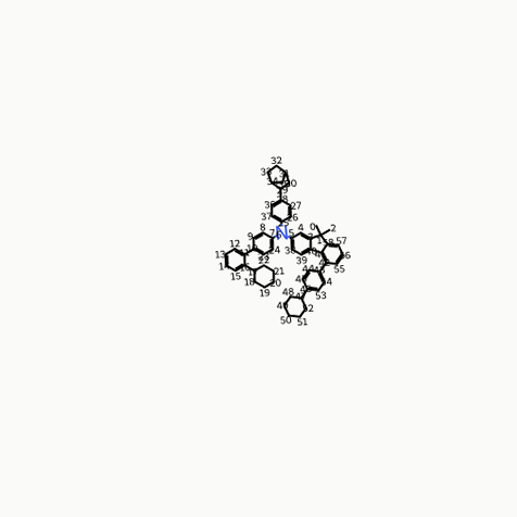 CC1(C)c2cc(N(c3ccc(-c4ccccc4C4CCCCC4)cc3)c3ccc(C4CC5CCC4C5)cc3)ccc2-c2c(-c3ccc(C4CCCCC4)cc3)cccc21